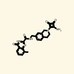 Cc1cccc2c(=O)[nH]c(C(=O)NCc3ccc4c(c3)CN(c3c(N)c(=O)c3=O)CC4)nc12